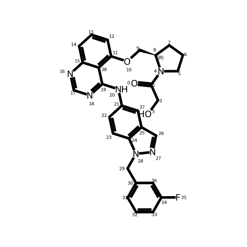 O=C(CO)N1CCC[C@@H]1COc1cccc2ncnc(Nc3ccc4c(cnn4Cc4cccc(F)c4)c3)c12